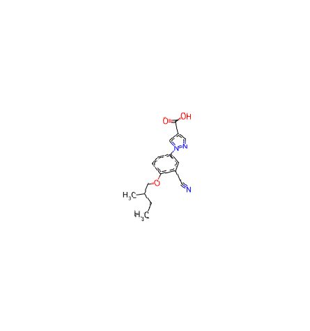 CCC(C)COc1ccc(-n2cc(C(=O)O)cn2)cc1C#N